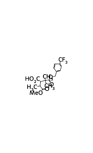 COC(=O)C(C)C(C(=O)O)C(C)(C)C(=O)OCc1ccc(C(F)(F)F)cc1